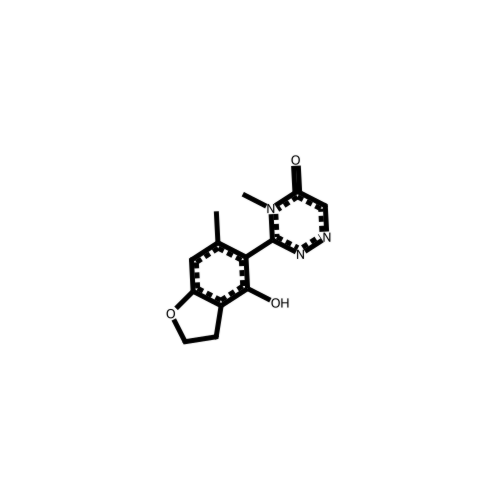 Cc1cc2c(c(O)c1-c1nncc(=O)n1C)CCO2